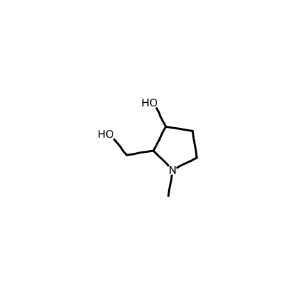 CN1CCC(O)C1CO